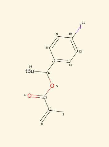 C=C(C)C(=O)OC(c1ccc(I)cc1)C(C)(C)C